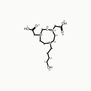 O=C(O)CN1CCN(CCCCO)CCN(CC(=O)O)CC1